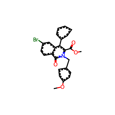 COC(=O)c1c(-c2ccccc2)c2cc(Br)ccc2c(=O)n1Cc1ccc(OC)cc1